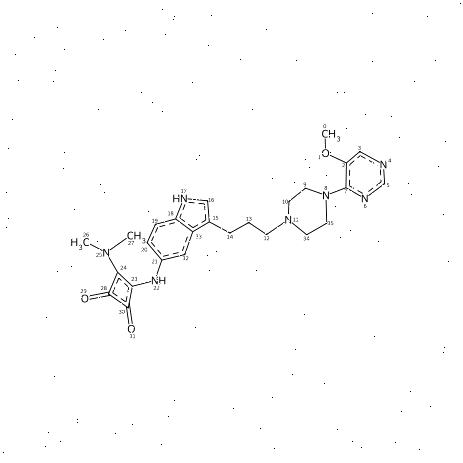 COc1cncnc1N1CCN(CCCc2c[nH]c3ccc(Nc4c(N(C)C)c(=O)c4=O)cc23)CC1